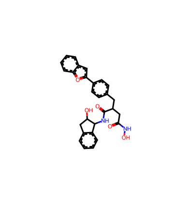 O=C(CC(Cc1ccc(-c2cc3ccccc3o2)cc1)C(=O)NC1c2ccccc2CC1O)NO